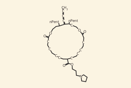 C=C=C=C=C1C(CCCCC)CCOC(=O)CCCCCCCC(C(=O)OCCCN2CCCC2)CCCCCCCC(=O)OCCC1CCCCC